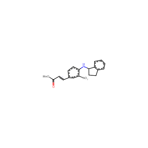 COC(=O)/C=C/c1ccc(NC2CCc3ccccc32)c([N+](=O)[O-])c1